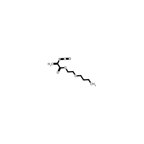 C=C(N=C=O)C(=O)OCCOCCCC